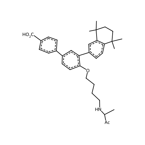 CC(=O)C(C)NCCCCOc1ccc(-c2ccc(C(=O)O)cc2)cc1-c1ccc2c(c1)C(C)(C)CCC2(C)C